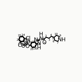 O=C(CCCC1CCNCC1)Nc1nc2cc(OS(=O)(=O)c3c(Cl)cccc3Cl)ccc2[nH]1